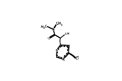 CN(C)C(=O)C(C#N)c1cc(Cl)ncn1